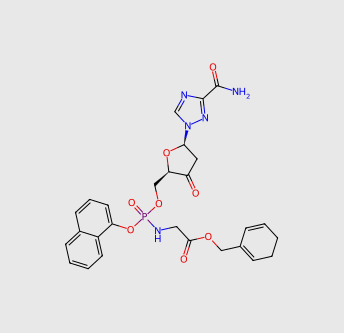 NC(=O)c1ncn([C@H]2CC(=O)[C@@H](COP(=O)(NCC(=O)OCC3=CCCC=C3)Oc3cccc4ccccc34)O2)n1